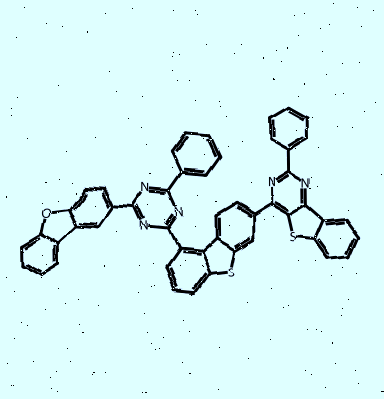 c1ccc(-c2nc(-c3ccc4oc5ccccc5c4c3)nc(-c3cccc4sc5cc(-c6nc(-c7ccccc7)nc7c6sc6ccccc67)ccc5c34)n2)cc1